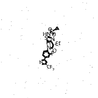 CC[C@H](C(=O)Nc1ccc(-c2cncc(C(F)(F)F)c2)cc1F)c1csc(NS(=O)(=O)C2CC2)n1